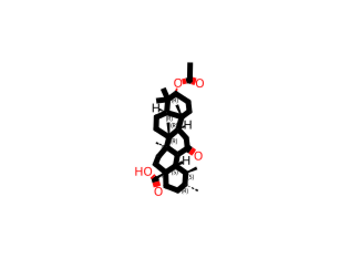 CC(=O)O[C@@H]1CC[C@]2(C)[C@H]3CC(=O)C4[C@@H]5[C@@H](C)[C@H](C)CC[C@]5(C(=O)O)CC[C@@]4(C)[C@]3(C)CC[C@H]2C1(C)C